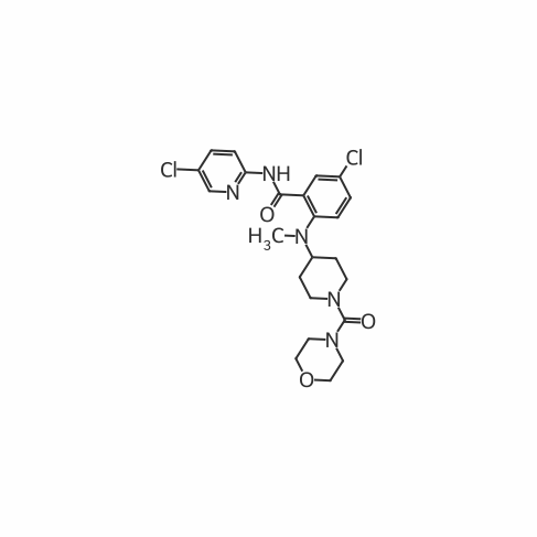 CN(c1ccc(Cl)cc1C(=O)Nc1ccc(Cl)cn1)C1CCN(C(=O)N2CCOCC2)CC1